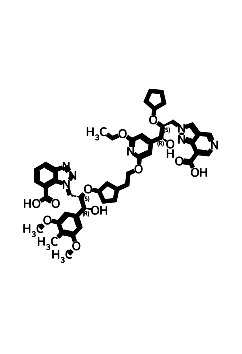 CCOc1cc([C@@H](O)[C@H](Cn2cc3cncc(C(=O)O)c3n2)OC2CCCC2)cc(OCCC2CCC(O[C@@H](Cn3nnc4cccc(C(=O)O)c43)[C@H](O)c3cc(OC)c(C)c(OC)c3)C2)n1